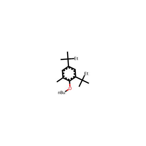 CCCCOc1c(C)cc(C(C)(C)CC)cc1C(C)(C)CC